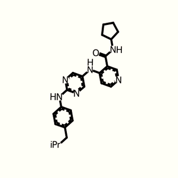 CC(C)Cc1ccc(Nc2ncc(Nc3ccncc3C(=O)NC3CCCC3)cn2)cc1